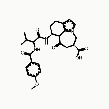 COc1ccc(C(=O)NC(C(=O)N[C@H]2CCc3ccn4c3C2C(=O)C[C@H](C(=O)O)C4)C(C)C)cc1